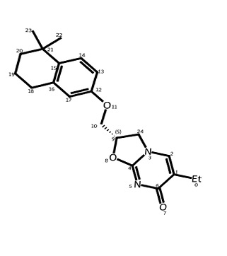 CCc1cn2c(nc1=O)O[C@H](COc1ccc3c(c1)CCCC3(C)C)C2